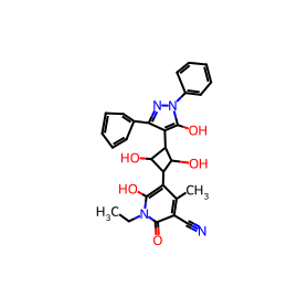 CCn1c(O)c(C2C(O)C(c3c(-c4ccccc4)nn(-c4ccccc4)c3O)C2O)c(C)c(C#N)c1=O